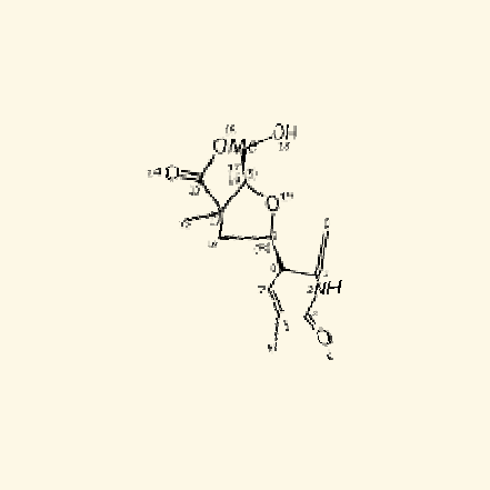 C=C1NC(=O)C(C)=CC1[C@H]1CC(C)(C(=O)OC)[C@@H](CO)O1